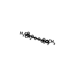 C=C(C)C(=O)OCCOCCOCCOCCOC(=O)Oc1ccc(C)c(F)c1